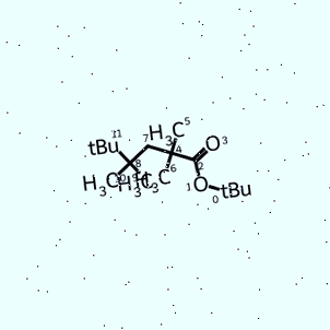 CC(C)(C)OC(=O)C(C)(C)CC(C)(C)C(C)(C)C